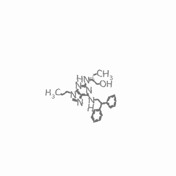 CCCn1cnc2c(NCC(c3ccccc3)c3ccccc3)nc(N[C@H](CC)CO)nc21